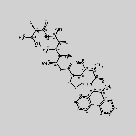 CC[C@H](C)C([C@@H](CC(=O)N1CCC[C@H]1[C@H](OC)[C@@H](C)C(=O)N[C@@H](c1ccccc1)[C@@H](N)c1ccccc1)OC)N(C)C(=O)[C@@H](NC(=O)[C@H](C(C)C)N(C)C)C(C)C